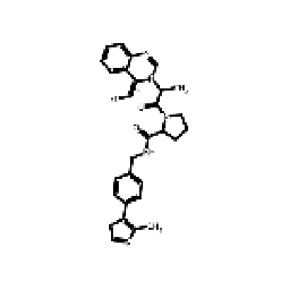 CC/C=C1\c2ccccc2N=CN1C(C)C(=O)N1CCCC1C(=O)NCc1ccc(C2=C(C)N=CC2)cc1